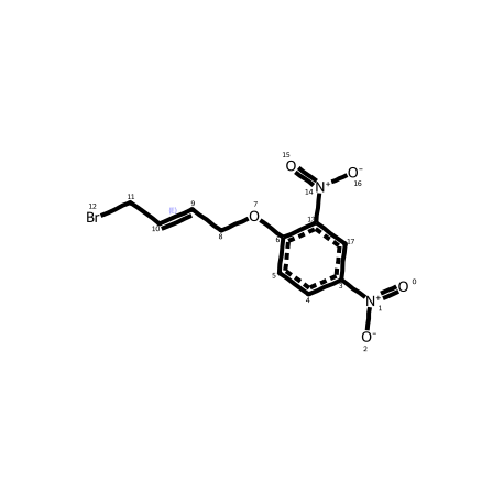 O=[N+]([O-])c1ccc(OC/C=C/CBr)c([N+](=O)[O-])c1